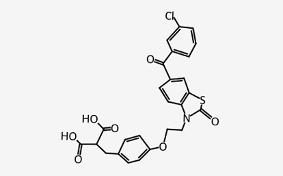 O=C(c1cccc(Cl)c1)c1ccc2c(c1)sc(=O)n2CCOc1ccc(CC(C(=O)O)C(=O)O)cc1